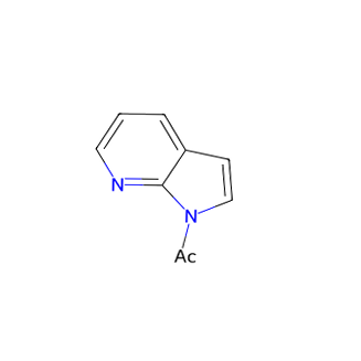 CC(=O)n1ccc2cccnc21